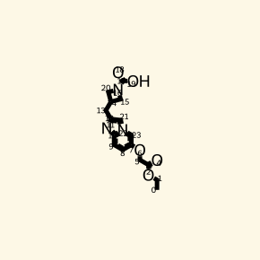 CCOC(=O)COc1ccc2nc(CC3CN(C(=O)O)C3)cn2c1